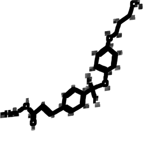 [CH2]CCCCCOC(=O)/C=C/c1ccc(C(F)(F)Oc2ccc(OCCCC(F)(F)F)cc2)cc1